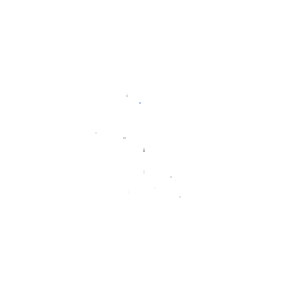 CC1=CCN=c2cc3c(cc21)=C(C)CC(C)(C)O3